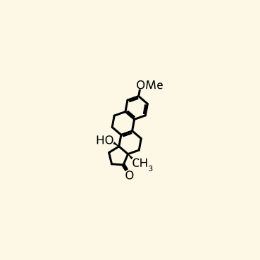 COc1ccc2c(c1)CCC1=C2CC[C@]2(C)C(=O)CC[C@]12O